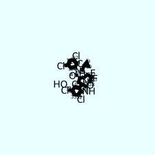 O=C(O)[C@H]1[C@@H](C(=O)N(CC2(C(F)(F)F)CC2)c2cc(Cl)cc(Cl)c2)[C@H]2CC(F)(F)CN2[C@]12C(=O)Nc1c(Cl)cc(Cl)cc12